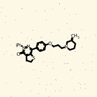 C=C1CCCN(CCCOc2ccc(-c3nn(C(C)C)c(=O)c4c3SCC4)cc2)C1